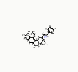 COc1c2c(cc3c1C(CC(=O)/C=C/c1ccco1)N(C)CC3)OCO2